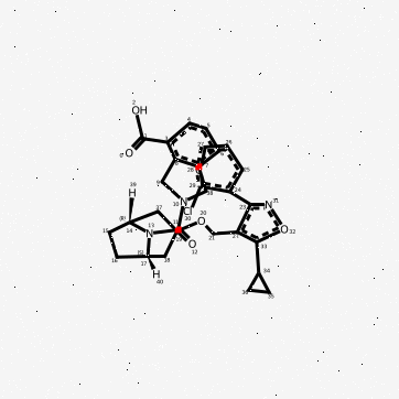 O=C(O)c1cccc2c1CN(C(=O)N1[C@@H]3CC[C@H]1CC(OCc1c(-c4ccccc4Cl)noc1C1CC1)C3)C2